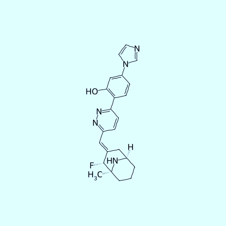 C[C@]12CCC[C@H](C/C(=C\c3ccc(-c4ccc(-n5ccnc5)cc4O)nn3)[C@H]1F)N2